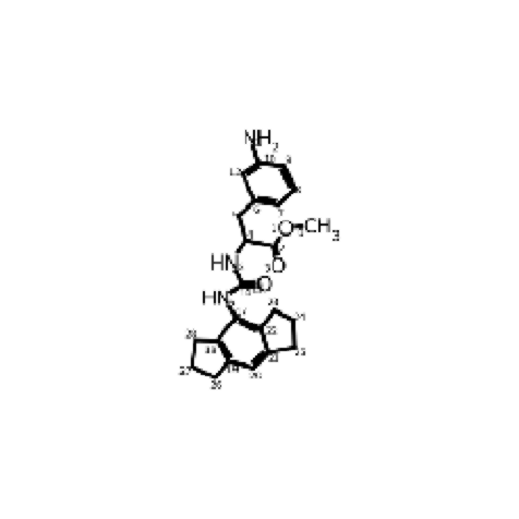 COC(=O)C(Cc1cccc(N)c1)NC(=O)Nc1c2c(cc3c1CCC3)CCC2